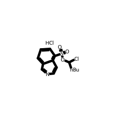 CCCCC(Cl)OS(=O)(=O)c1cccc2cnccc12.Cl